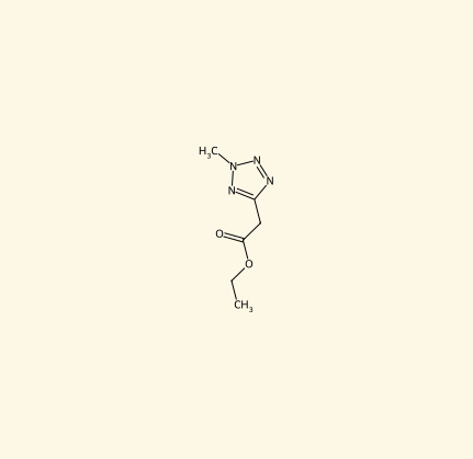 CCOC(=O)Cc1nnn(C)n1